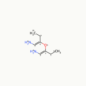 CCC(=CN)OC(=CN)CC